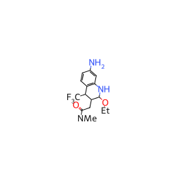 CCOC1Nc2cc(N)ccc2C(C(F)(F)F)C1CC(=O)NC